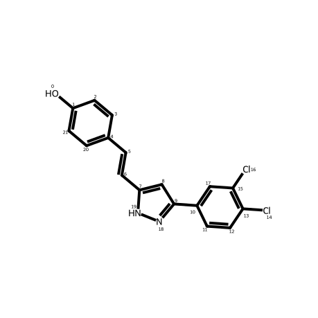 Oc1ccc(/C=C/c2cc(-c3ccc(Cl)c(Cl)c3)n[nH]2)cc1